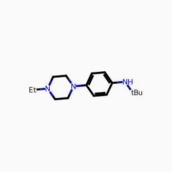 CCN1CCN(c2ccc(NC(C)(C)C)cc2)CC1